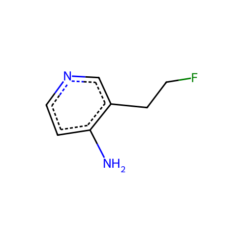 Nc1ccncc1CCF